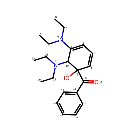 CCN(CC)C1=CC=CC(O)(C(=O)c2ccccc2)C1N(CC)CC